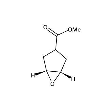 COC(=O)C1C[C@@H]2O[C@@H]2C1